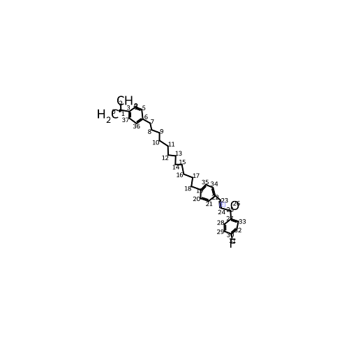 C=C(C)c1ccc(CCCCCCCCCCCCc2ccc(/C=C/C(=O)c3ccc(F)cc3)cc2)cc1